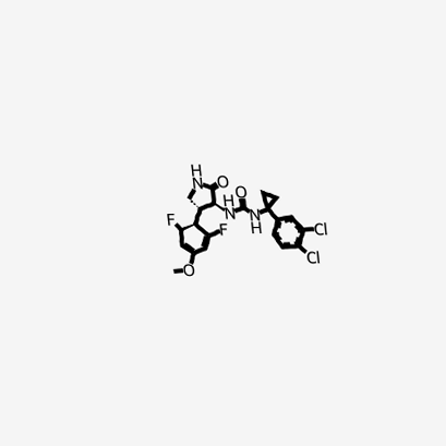 COC1=CC(F)[C@@H]([C@@H]2CNC(=O)[C@H]2NC(=O)NC2(c3ccc(Cl)c(Cl)c3)CC2)C(F)=C1